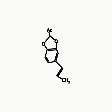 C/C=C/c1ccc2c(c1)OC(C(C)=O)O2